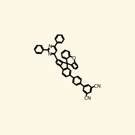 N#Cc1cc(C#N)cc(-c2ccc(-c3ccc4c(c3)C3(c5ccccc5Oc5ccccc53)c3cc(-c5cc(-c6ccccc6)nc(-c6ccccc6)n5)ccc3-4)cc2)c1